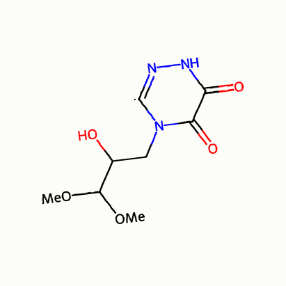 COC(OC)C(O)Cn1[c]n[nH]c(=O)c1=O